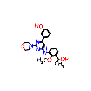 COc1c(Nc2cc(-c3cccc(O)c3)nc(N3CCOCC3)n2)cccc1C(C)O